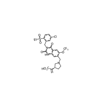 CCS(=O)(=O)c1ccc(Cl)cc1Cn1c(=O)[nH]c2cc(CN3CC[C@@H](NC(=O)O)C3)c(OC(F)(F)F)cc2c1=O